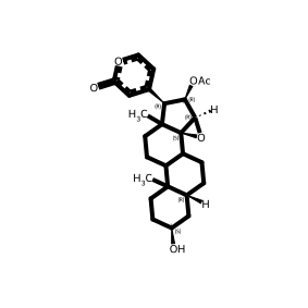 CC(=O)O[C@H]1[C@H]2O[C@]23C2CC[C@@H]4C[C@@H](O)CCC4(C)C2CCC3(C)[C@H]1c1ccoc(=O)c1